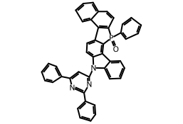 O=P1(c2ccccc2)c2ccc3ccccc3c2-c2ccc3c(c21)c1ccccc1n3-c1cc(-c2ccccc2)nc(-c2ccccc2)n1